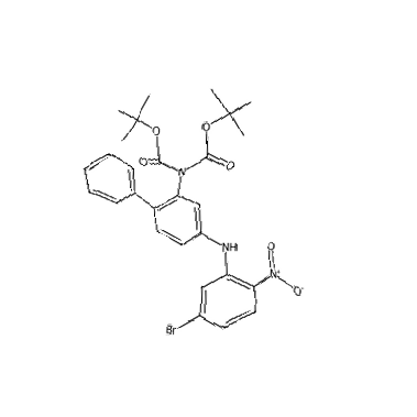 CC(C)(C)OC(=O)N(C(=O)OC(C)(C)C)c1cc(Nc2cc(Br)ccc2[N+](=O)[O-])ccc1-c1ccccc1